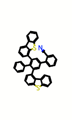 N#Cc1ccccc1-c1cc(-c2cccc3c2sc2ccccc23)c(-c2ccccc2)c(-c2cccc3sc4ccccc4c23)c1